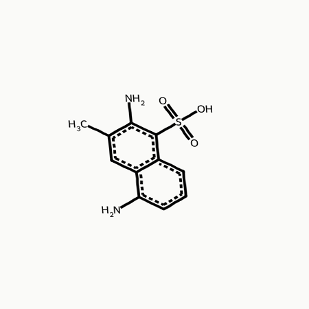 Cc1cc2c(N)cccc2c(S(=O)(=O)O)c1N